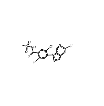 CS(=O)(=O)NC(=O)c1cc(Cl)c(-n2ncc3cc(Cl)ncc32)cc1F